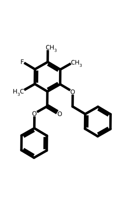 Cc1c(C)c(OCc2ccccc2)c(C(=O)Oc2ccccc2)c(C)c1F